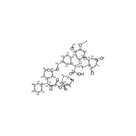 COc1ccc([C@@H](Cc2c(Cl)c[n+]([O-])cc2Cl)C(C(=O)O)c2cccc(COc3cccc([C@@H](NC(=O)O[C@H]4CN5CCC4CC5)c4ccccc4)c3)c2)cc1OC